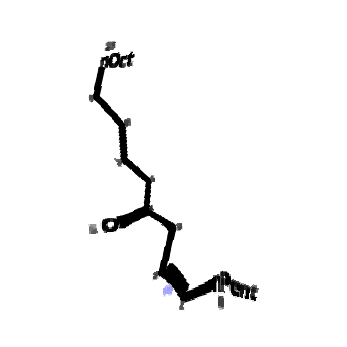 CCCCC/C=C\CC(=O)CCCCCCCCCCCC